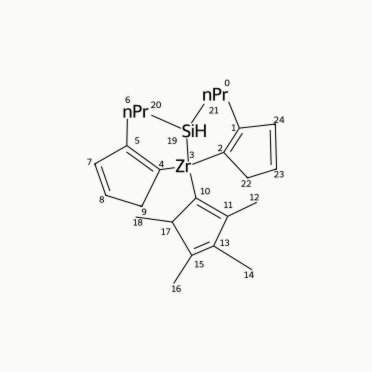 CCCC1=[C]([Zr]([C]2=C(CCC)C=CC2)([C]2=C(C)C(C)=C(C)C2C)[SiH](C)C)CC=C1